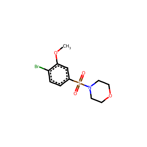 COc1cc(S(=O)(=O)N2CCOCC2)ccc1Br